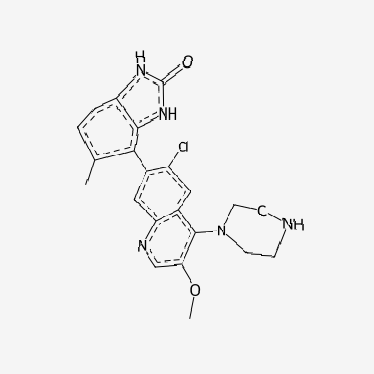 COc1cnc2cc(-c3c(C)ccc4[nH]c(=O)[nH]c34)c(Cl)cc2c1N1CCNCC1